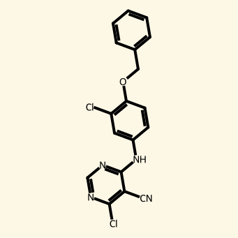 N#Cc1c(Cl)ncnc1Nc1ccc(OCc2ccccc2)c(Cl)c1